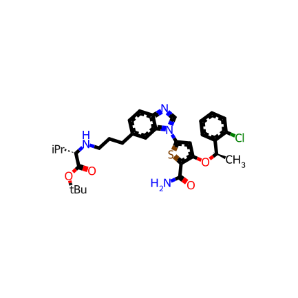 CC(C)[C@H](NCCCc1ccc2ncn(-c3cc(O[C@H](C)c4ccccc4Cl)c(C(N)=O)s3)c2c1)C(=O)OC(C)(C)C